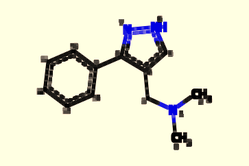 CN(C)Cc1c[nH]nc1-c1ccccc1